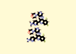 Cc1c(-c2ccc(N(C)C)nc2)nc2cc(F)cc(F)c2c1Nc1cncc(N2CCOCC2)c1.Cc1c(-c2ccc(N(C)C)nc2)nc2cc(F)cc(F)c2c1Nc1cncc(N2CCOCC2)c1